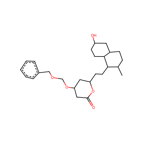 CC1CCC2CC(O)C[CH]C2C1CCC1CC(OCOCc2ccccc2)CC(=O)O1